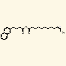 CCCC/C=C\CCCCCCCCC(=O)OC(=O)CCCc1ccc2ccccc2c1